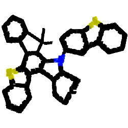 CC1(C)c2ccccc2-c2c1c1c(c3ccccc3n1-c1ccc3sc4ccccc4c3c1)c1c2sc2ccccc21